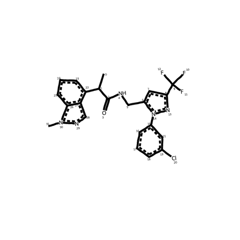 CC(C(=O)NCc1cc(C(F)(F)F)nn1-c1cccc(Cl)c1)c1cccc2c1cnn2C